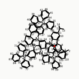 CC(C)c1ccc2c(c1)c1cc(C(C)C)ccc1n2-c1cc2c3c(c1)N(c1ccc([Si](c4ccccc4)(c4ccccc4)c4ccccc4)cc1)c1c(cccc1-c1ccccc1)B3c1cc([Si](c3ccccc3)(c3ccccc3)c3ccccc3)ccc1N2c1cccc([Si](c2ccccc2)(c2ccccc2)c2ccccc2)c1